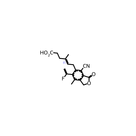 C=C(F)c1c(C)c2c(c(C#N)c1C/C=C(\C)CCC(=O)O)C(=O)OC2